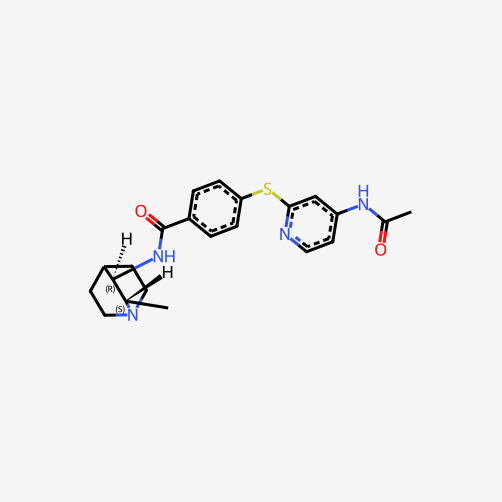 CC(=O)Nc1ccnc(Sc2ccc(C(=O)N[C@@H]3C4CCN(CC4)[C@H]3C)cc2)c1